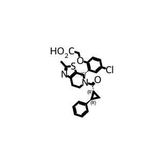 Cc1nc2c(s1)[C@H](c1cc(Cl)ccc1OCC(=O)O)N(C(=O)[C@@H]1C[C@H]1c1ccccc1)CC2